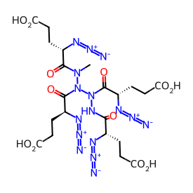 CN(C(=O)[C@H](CCC(=O)O)N=[N+]=[N-])N(C(=O)[C@H](CCC(=O)O)N=[N+]=[N-])N(NC(=O)[C@H](CCC(=O)O)N=[N+]=[N-])C(=O)[C@H](CCC(=O)O)N=[N+]=[N-]